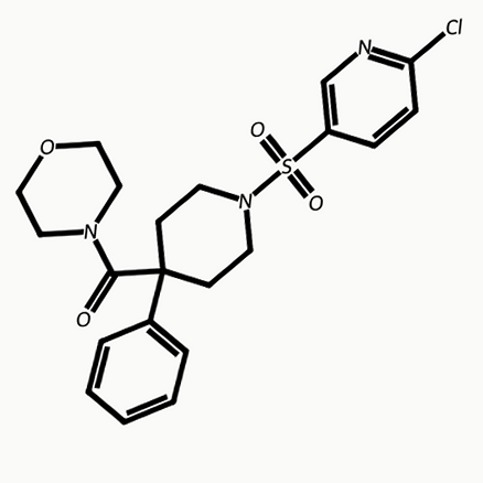 O=C(N1CCOCC1)C1(c2ccccc2)CCN(S(=O)(=O)c2ccc(Cl)nc2)CC1